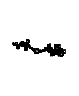 CCOC(=O)c1ccc2c(c1)C(=O)N(CCCCN1CCN(CCCOc3cc4ncc(C#N)c(Nc5cc(OC)c(Cl)cc5Cl)c4cc3OC)CC1)C2=O